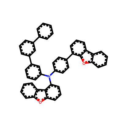 c1ccc(-c2cccc(-c3cccc(N(c4ccc(-c5cccc6c5oc5ccccc56)cc4)c4cccc5oc6ccccc6c45)c3)c2)cc1